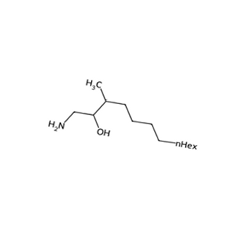 CCCCCCCCCC[C](C)C(O)CN